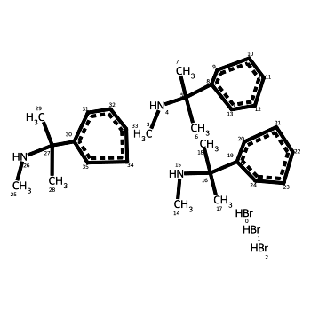 Br.Br.Br.CNC(C)(C)c1ccccc1.CNC(C)(C)c1ccccc1.CNC(C)(C)c1ccccc1